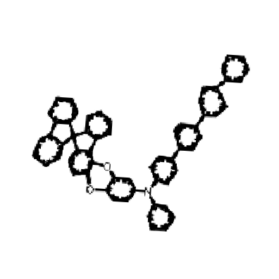 c1c(-c2ccc(-c3ccccc3)cc2)ccc(-c2ccc(N(c3ccccc3)c3ccc4c(c3)Oc3c(ccc5c3-c3ccccc3C53c5ccccc5-c5ccccc53)O4)cc2)c#1